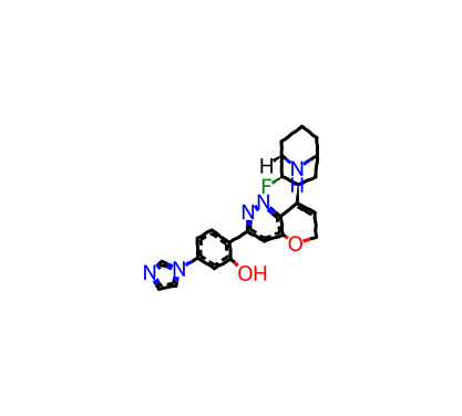 Oc1cc(-n2ccnc2)ccc1-c1cc2c(nn1)C([C@@H]1CC3CCC[C@H](N3)[C@@H]1F)=CCO2